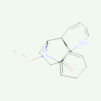 CON1C2=CCCC=C2C23C=CC=CNC2C(=O)CC=C13